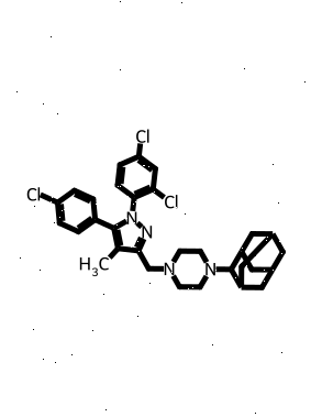 Cc1c(CN2CCN(C3C4CC5CC(C4)CC3C5)CC2)nn(-c2ccc(Cl)cc2Cl)c1-c1ccc(Cl)cc1